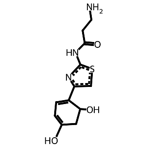 NCCC(=O)Nc1nc(C2=CC=C(O)CC2O)cs1